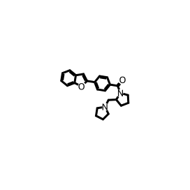 O=C(c1ccc(-c2cc3ccccc3o2)cc1)N1CCCC1CN1CCCC1